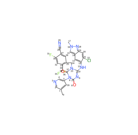 Cc1cncc(-n2c(=O)nc(Nc3cc4cn(C)nc4cc3Cl)n(Cc3cc(C#N)c(F)cc3C(F)F)c2=O)c1